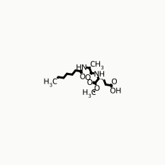 CCCCCCC(=O)N[C@@H](C)C(=O)N[C@H](CCC(=O)O)C(=O)OC